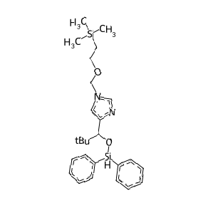 CC(C)(C)C(O[SiH](c1ccccc1)c1ccccc1)c1cn(COCC[Si](C)(C)C)cn1